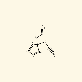 C=CCC1(CC#N)C=CC=N1